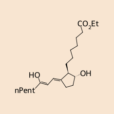 CCCCCC(O)=CC=C1CC[C@@H](O)[C@@H]1CCCCCCC(=O)OCC